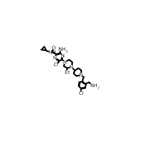 CCC1CN(c2nc(N)c(C(=O)NC3CC3)nc2Cl)CCN1C1CCN(Cc2ccc(Cl)cc2CN)CC1